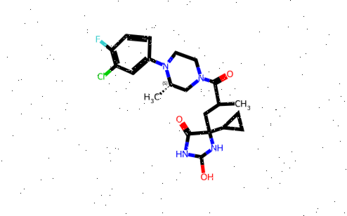 CC(CC1(C2CC2)NC(O)NC1=O)C(=O)N1CCN(c2ccc(F)c(Cl)c2)[C@@H](C)C1